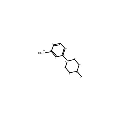 CC1CCN(c2cccc(C(=O)O)c2)CC1